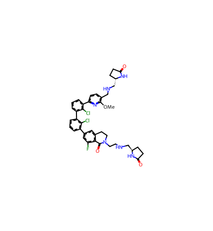 COc1nc(-c2cccc(-c3cccc(-c4cc(F)c5c(c4)CCN(CCNC[C@H]4CCC(=O)N4)C5=O)c3Cl)c2Cl)ccc1CNC[C@@H]1CCC(=O)N1